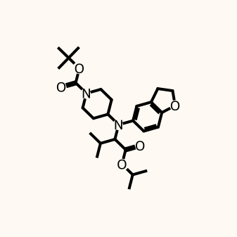 CC(C)OC(=O)C(C(C)C)N(c1ccc2c(c1)CCO2)C1CCN(C(=O)OC(C)(C)C)CC1